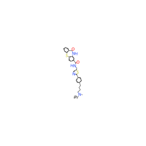 CC(C)N(C)CCCCc1ccc(-c2ncc(CNC(=O)c3ccc4c(c3)NC(=O)c3ccccc3S4)s2)cc1